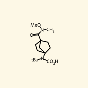 CON(C)C(=O)C12CCC(N(C(=O)O)C(C)(C)C)(CC1)C2